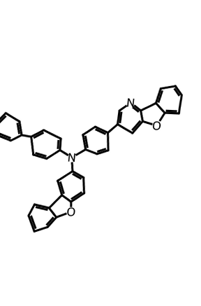 c1ccc(-c2ccc(N(c3ccc(-c4cnc5c(c4)oc4ccccc45)cc3)c3ccc4oc5ccccc5c4c3)cc2)cc1